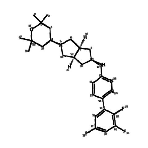 CC1(C)CC(N2C[C@H]3C[C@@H](Nc4ccc(-c5cc(F)cc(F)c5F)nn4)C[C@H]3C2)CC(C)(C)O1